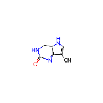 N#CC1=CNC2CNC(=O)N=C12